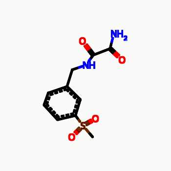 CS(=O)(=O)c1cccc(CNC(=O)C(N)=O)c1